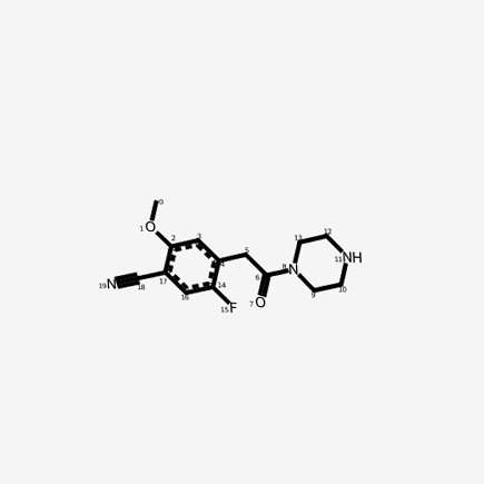 COc1cc(CC(=O)N2CCNCC2)c(F)cc1C#N